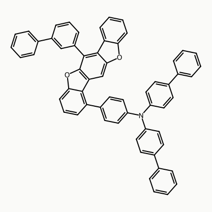 c1ccc(-c2ccc(N(c3ccc(-c4ccccc4)cc3)c3ccc(-c4cccc5oc6c(-c7cccc(-c8ccccc8)c7)c7c(cc6c45)oc4ccccc47)cc3)cc2)cc1